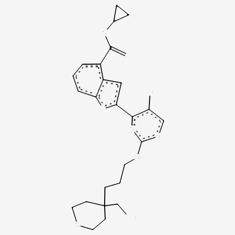 CCC1(CCCNc2ncc(Cl)c(-c3cc4c(C(=O)NC5CC5)cccc4s3)n2)CCNCC1